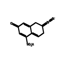 [N-]=[N+]=C1CC=C2C(=CC(=O)C=C2S(=O)(=O)O)C1